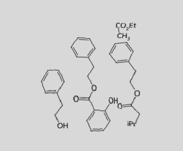 CC(C)CC(=O)OCCc1ccccc1.CCOC(C)=O.O=C(OCCc1ccccc1)c1ccccc1O.OCCc1ccccc1